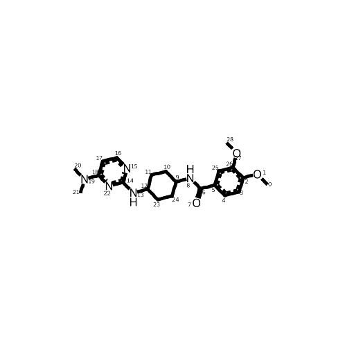 COc1ccc(C(=O)NC2CCC(Nc3nccc(N(C)C)n3)CC2)cc1OC